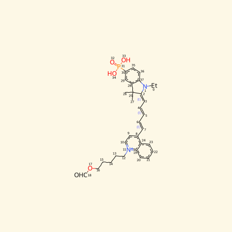 CCN1/C(=C/C=C/C=C/c2cc[n+](CCCCCOC=O)c3ccccc23)C(C)(C)c2cc(P(=O)(O)O)ccc21